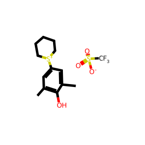 Cc1cc([S+]2CCCCC2)cc(C)c1O.O=S(=O)([O-])C(F)(F)F